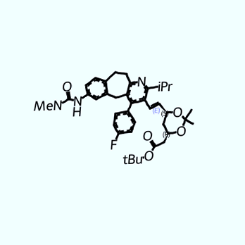 CNC(=O)Nc1ccc2c(c1)Cc1c(nc(C(C)C)c(/C=C/[C@@H]3C[C@H](CC(=O)OC(C)(C)C)OC(C)(C)O3)c1-c1ccc(F)cc1)CC2